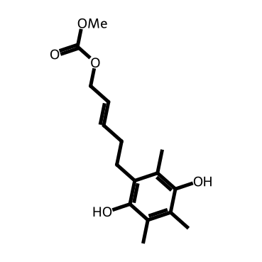 COC(=O)OCC=CCCc1c(C)c(O)c(C)c(C)c1O